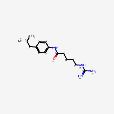 CC(=O)[C@H](C)Cc1ccc(NC(=O)CCCCNC(=N)N)cc1